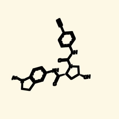 C#Cc1ccc(NC(=O)N2C[C@H](O)C[C@@H]2C(=O)Nc2ccc3c(c2)CCN3C(C)=O)cc1